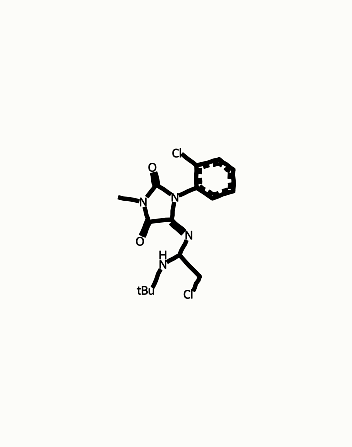 CN1C(=O)C(=NC(CCl)NC(C)(C)C)N(c2ccccc2Cl)C1=O